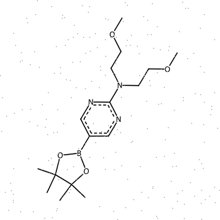 COCCN(CCOC)c1ncc(B2OC(C)(C)C(C)(C)O2)cn1